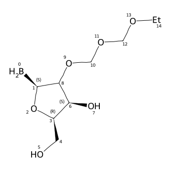 B[C@@H]1O[C@H](CO)[C@H](O)C1OCOCOCC